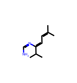 CC(C)=C/C=C(\N=C/N)C(C)C